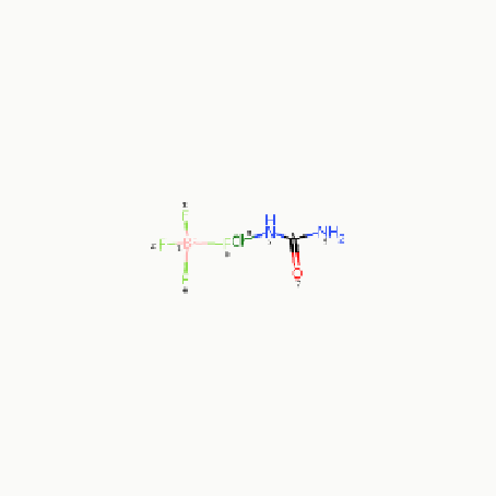 F[B-](F)(F)F.NC(=O)NCl